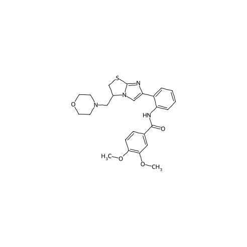 COc1ccc(C(=O)Nc2ccccc2-c2cn3c(n2)SCC3CN2CCOCC2)cc1OC